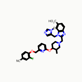 CCn1cncc1Cn1c(CN2CCC(Oc3cccc(COc4ccc(C#N)cc4F)n3)C(C)C2)nc2ccc(C(=O)O)cc21